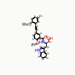 COc1ccc(F)cc1C#Cc1ccc(OC(C)C)c(C(=O)N[C@@H](CO)Cc2c[nH]c3ccccc23)c1